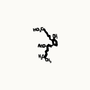 CC(=O)O[C@H](C=C[C@H]1CCC(O)[C@@H]1CC=CCCCC(=O)O)CCC=C(C)C